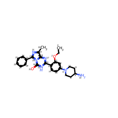 CCOc1cc(N2CCC(N)CC2)ccc1-c1nc2c(C)nc(-c3ccccc3)n2c(=O)[nH]1